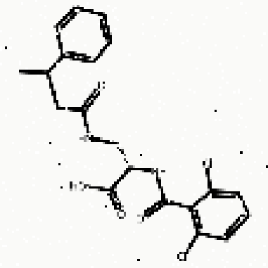 CC(CC(=O)NC[C@H](NC(=O)c1c(Cl)cccc1Cl)C(=O)O)c1ccccc1